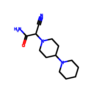 N#CC(C(N)=O)N1CCC(N2CCCCC2)CC1